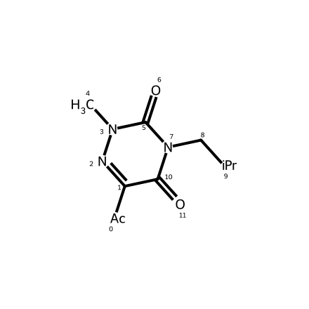 CC(=O)c1nn(C)c(=O)n(CC(C)C)c1=O